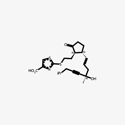 CC(C)CC#C[C@](C)(O)CC=C[C@H]1CCC(=O)[C@@H]1CCSc1nc(C(=O)O)cs1